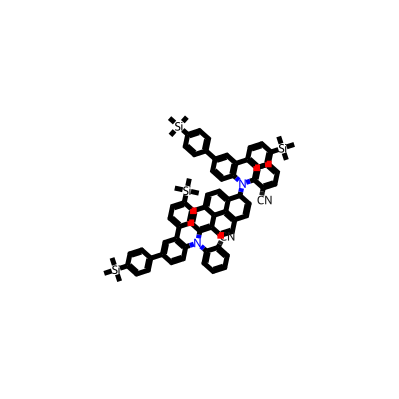 C[Si](C)(C)c1ccc(-c2ccc(N(C3=C4C=CC5=C6C(=CC=C(C=C3)C46)C(N(c3ccccc3C#N)c3ccc(-c4ccc([Si](C)(C)C)cc4)cc3-c3ccc([Si](C)(C)C)cc3)C=C5)c3ccccc3C#N)c(-c3ccc([Si](C)(C)C)cc3)c2)cc1